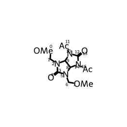 COCN1C(=O)N(COC)C2C1N(C(C)=O)C(=O)N2C(C)=O